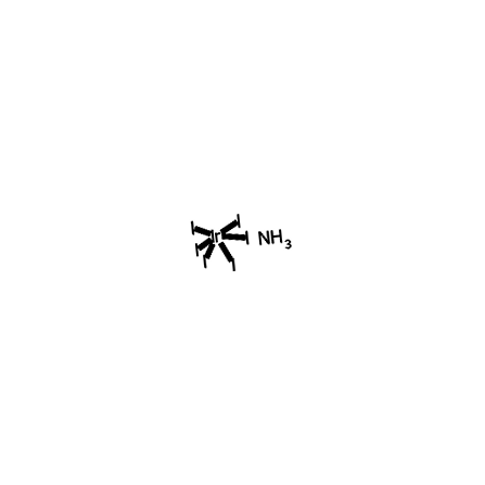 N.[I][Ir]([I])([I])([I])([I])[I]